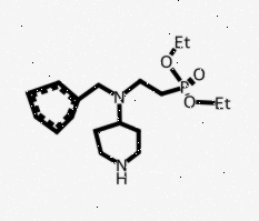 CCOP(=O)(CCN(Cc1ccccc1)C1CCNCC1)OCC